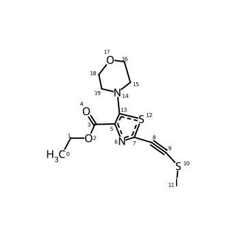 CCOC(=O)c1nc(C#CSI)sc1N1CCOCC1